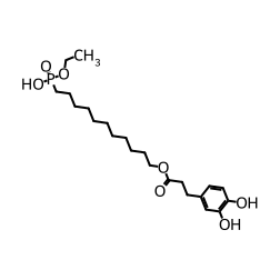 CCOP(=O)(O)CCCCCCCCCCCOC(=O)CCc1ccc(O)c(O)c1